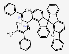 CC(C)=C(/N=C(\N=C(/C)c1ccccc1)c1cccc2c1-c1ccccc1C21c2ccccc2-c2ccc3c(oc4ccccc43)c21)c1ccccc1